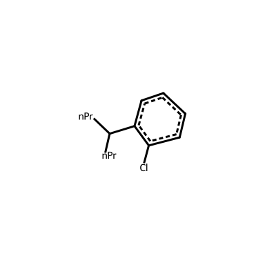 CCCC(CCC)c1ccccc1Cl